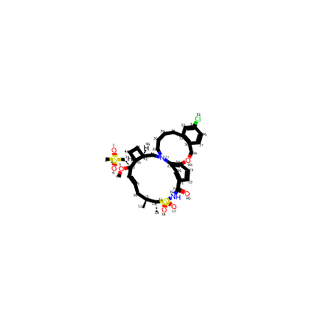 CO[C@]1(CS(C)(=O)=O)/C=C/C[C@H](C)[C@@H](C)S(=O)(=O)NC(=O)c2ccc3c(c2)N(CCCCc2cc(Cl)ccc2CO3)C[C@@H]2CC[C@H]21